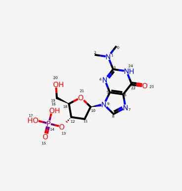 CN(C)c1nc2c(ncn2[C@H]2C[C@H](OP(=O)(O)O)[C@@H](CO)O2)c(=O)[nH]1